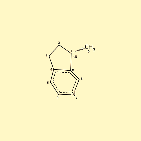 C[C@H]1CCc2ccncc21